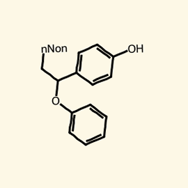 CCCCCCCCCCC(Oc1ccccc1)c1ccc(O)cc1